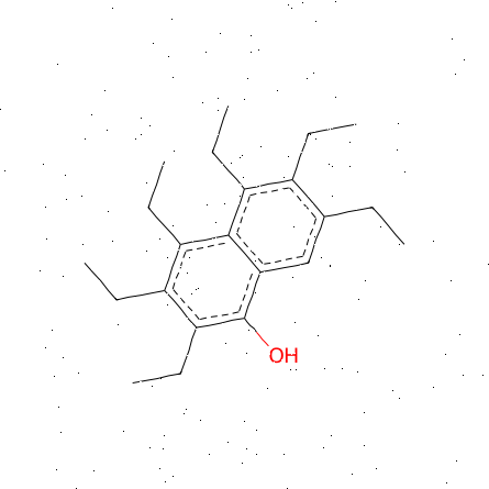 CCc1cc2c(O)c(CC)c(CC)c(CC)c2c(CC)c1CC